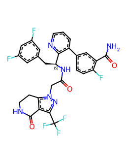 NC(=O)c1cc(-c2cccnc2[C@H](Cc2cc(F)cc(F)c2)NC(=O)Cn2nc(C(F)(F)F)c3c2CCNC3=O)ccc1F